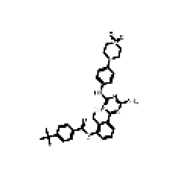 CC(C)(C)c1ccc(C(=O)Nc2cccc(-c3nc(N)nc(Nc4ccc(N5CCS(=O)(=O)CC5)cc4)n3)c2CO)cc1